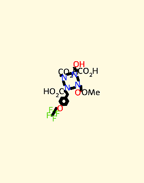 COC(=O)CN1CCN(C(Cc2ccc(OCC(F)(F)C(F)F)cc2)C(=O)O)CCN(CC(=O)O)CCN([C@@H](CO)C(=O)O)CC1